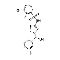 Cc1c(Cl)cccc1S(=O)(=O)Nc1nc(C(O)c2cccc(Cl)c2)cs1